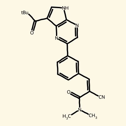 CN(C)C(=O)C(C#N)=Cc1cccc(-c2cnc3[nH]cc(C(=O)C(C)(C)C)c3n2)c1